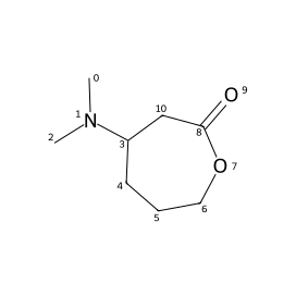 CN(C)C1CCCOC(=O)C1